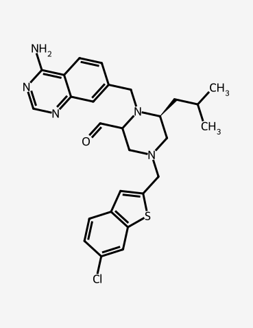 CC(C)C[C@H]1CN(Cc2cc3ccc(Cl)cc3s2)CC(C=O)N1Cc1ccc2c(N)ncnc2c1